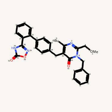 CCCCc1nc(COC)n(Cc2ccccc2)c(=O)c1Cc1ccc(-c2ccccc2-c2noc(=O)[nH]2)cc1